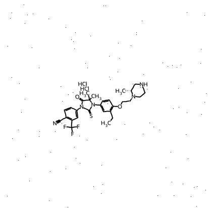 CCc1cc(N2C(=S)N(c3ccc(C#N)c(C(F)(F)F)c3)C(=O)C2(C)C)ccc1OCCN1CCNC[C@H]1C.Cl.Cl